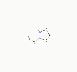 OCC1CCC[N]1